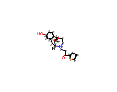 O=C(CCN1CCC23CCCC[C@H]2[C@H]1Cc1cc(O)ccc13)c1cccs1